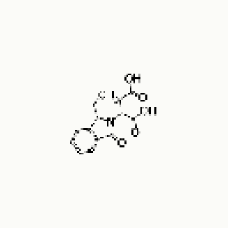 CCC1c2ccccc2C(=O)N1C(CC(=O)O)C(=O)O